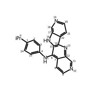 CC(C)c1ccc(Nc2c3ccncc3nc3c2[nH]c2cnccc23)cc1